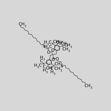 CCCCCCCCCCCCSCCOC(=O)C(Cc1cc(C(C)(C)C)c(O)c(C(C)(C)C)c1)(Cc1cc(C(C)(C)C)c(O)c(C(C)(C)C)c1)C(=O)OCCSCCCCCCCCCCCC